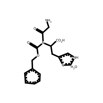 NCC(=O)N(C(=O)OCc1ccccc1)C(Cc1c[nH]cn1)C(=O)O.O